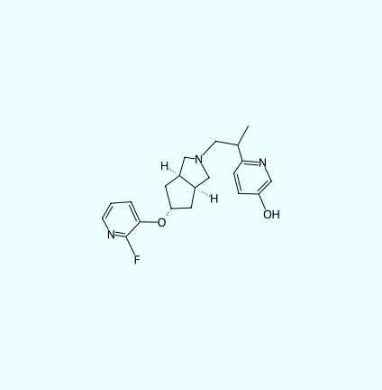 CC(CN1C[C@H]2C[C@H](Oc3cccnc3F)C[C@H]2C1)c1ccc(O)cn1